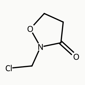 O=C1CCON1CCl